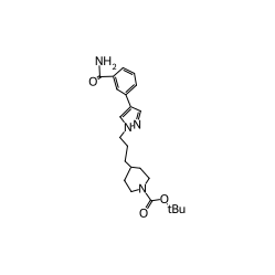 CC(C)(C)OC(=O)N1CCC(CCCn2cc(-c3cccc(C(N)=O)c3)cn2)CC1